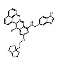 Fc1c(-c2cccc3cccc(F)c23)ncc2c(NCc3ccc4[nH]cnc4c3)nc(OCCC34CCCN3CCC4)nc12